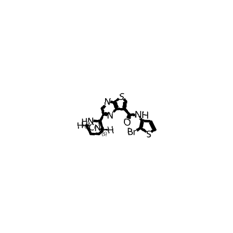 O=C(Nc1ccsc1Br)c1csc2ncc(N3C[C@@H]4CC[C@H]3CN4)nc12